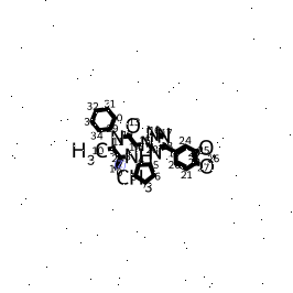 C/C=C(\NC1CCCC1)C(C)N(C(=O)Cn1nnc(-c2ccc3c(c2)OCO3)n1)C1CCCCC1